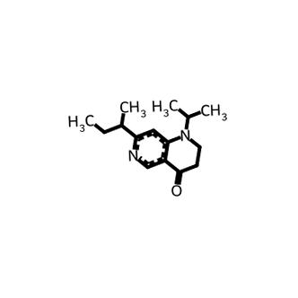 CCC(C)c1cc2c(cn1)C(=O)CCN2C(C)C